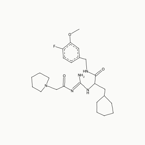 COc1cc(CNC(=O)C(CC2CCCCC2)NC(N)=NC(=O)CN2CCCCC2)ccc1F